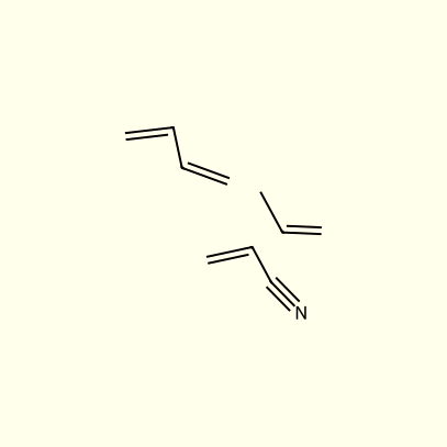 C=CC.C=CC#N.C=CC=C